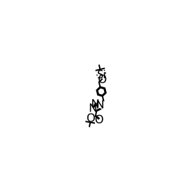 CC(C)(C)OC(=O)c1cn(Cc2ccc(CO[Si](C)(C)C(C)(C)C)cc2)nn1